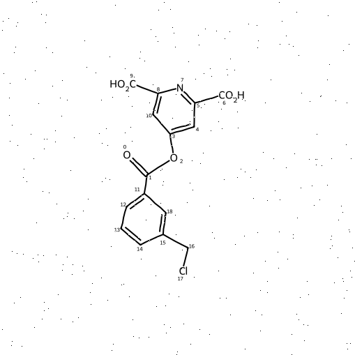 O=C(Oc1cc(C(=O)O)nc(C(=O)O)c1)c1cccc(CCl)c1